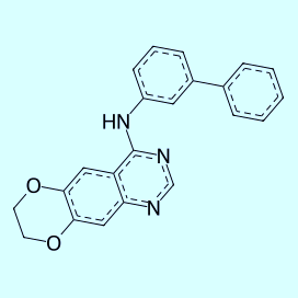 c1ccc(-c2cccc(Nc3ncnc4cc5c(cc34)OCCO5)c2)cc1